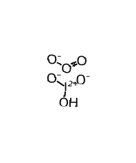 O=[O+][O-].[O-][I+2]([O-])O